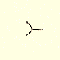 [CH2]CCCN(CCC)CCC